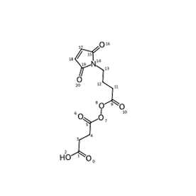 O=C(O)CCC(=O)OOC(=O)CCCN1C(=O)C=CC1=O